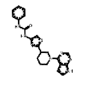 O=C(Nc1ccccc1)Nc1csc(C2CCCN(c3ncnc4[nH]ccc34)C2)n1